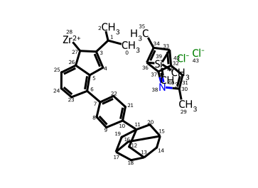 CC(C)C1=Cc2c(-c3ccc(C45CC6CC(CC(C6)C4)C5)cc3)cccc2[CH]1[Zr+2].CC1=CC2=C3C(C)=C(C2=N1)[Si]3(C)C.[Cl-].[Cl-]